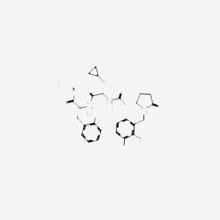 COC(=O)[C@H](Cc1ccccc1F)NC(=O)[C@H](CC1CC1)NC(=O)C[C@@H]1CCC(=O)N1Cc1cccc(F)c1F